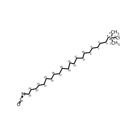 C[Si](C)(Cl)CCCCCCCCCCCCCCCCCCCCCCN=C=O